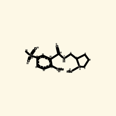 CCCCN1CCCC1CNC(=O)c1cc(S(C)(=O)=O)ccc1OC